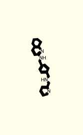 c1ccc(CNCc2ccc(CNc3ccc4c(n3)CCCC4)cc2)nc1